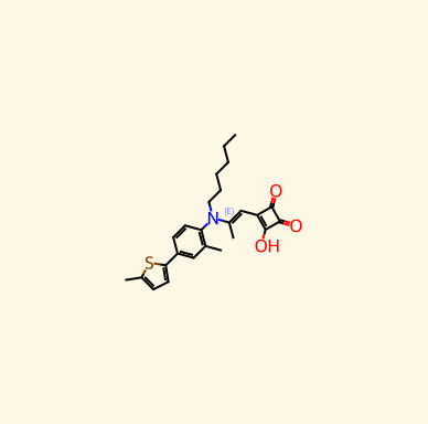 CCCCCCN(/C(C)=C/c1c(O)c(=O)c1=O)c1ccc(-c2ccc(C)s2)cc1C